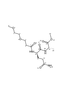 COCCOCCC(=O)N[C@H](CCC(N)=O)C(=O)N[C@@H](C)C(=O)OC